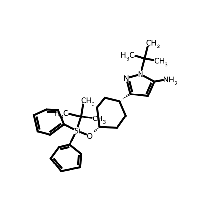 CC(C)(C)n1nc([C@H]2CC[C@@H](O[Si](c3ccccc3)(c3ccccc3)C(C)(C)C)CC2)cc1N